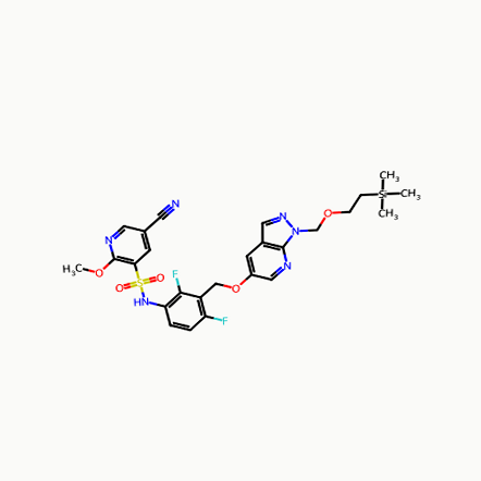 COc1ncc(C#N)cc1S(=O)(=O)Nc1ccc(F)c(COc2cnc3c(cnn3COCC[Si](C)(C)C)c2)c1F